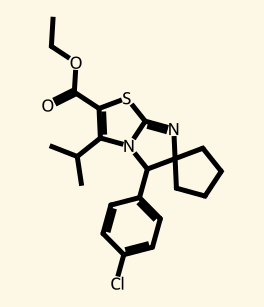 CCOC(=O)C1=C(C(C)C)N2C(=NC3(CCCC3)C2c2ccc(Cl)cc2)S1